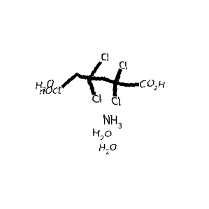 CCCCCCCCCC(Cl)(Cl)C(Cl)(Cl)C(=O)O.N.O.O.O